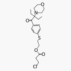 CCC(CC)(C(=O)c1ccc(SCCOC(=O)CCCl)cc1)N1CCOCC1